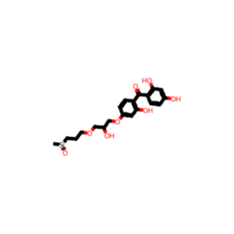 C[Si](=O)CCCOCC(O)COc1ccc(C(=O)c2ccc(O)cc2O)c(O)c1